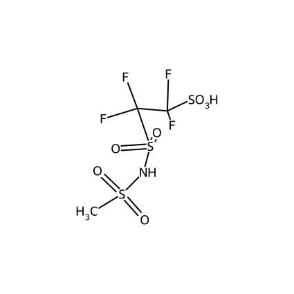 CS(=O)(=O)NS(=O)(=O)C(F)(F)C(F)(F)S(=O)(=O)O